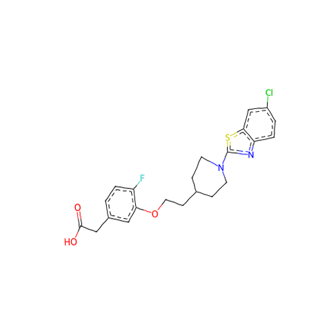 O=C(O)Cc1ccc(F)c(OCCC2CCN(c3nc4ccc(Cl)cc4s3)CC2)c1